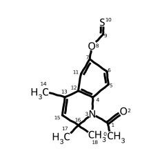 CC(=O)N1c2ccc(OC=S)cc2C(C)=CC1(C)C